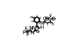 Cc1ccc(NC(=O)CC(C)S(C)(=O)=O)c(-c2csc3nc(C(F)(F)F)nn23)c1